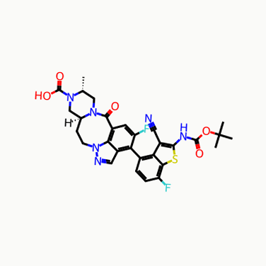 C[C@@H]1CN2C(=O)c3cc(F)c(-c4ccc(F)c5sc(NC(=O)OC(C)(C)C)c(C#N)c45)c4cnn(c34)CC[C@H]2CN1C(=O)O